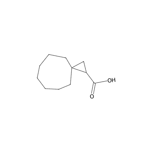 O=C(O)C1CC12CCCCCCC2